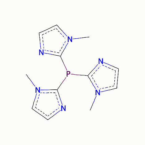 Cn1ccnc1P(c1nccn1C)c1nccn1C